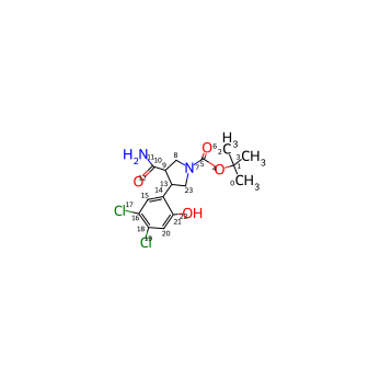 CC(C)(C)OC(=O)N1CC(C(N)=O)C(c2cc(Cl)c(Cl)cc2O)C1